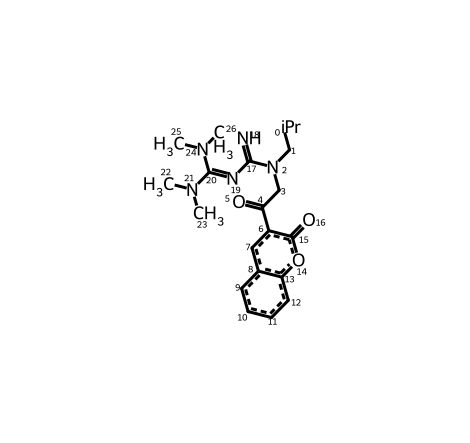 CC(C)CN(CC(=O)c1cc2ccccc2oc1=O)C(=N)N=C(N(C)C)N(C)C